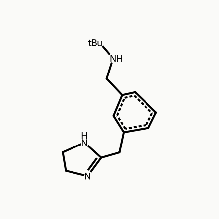 CC(C)(C)NCc1cccc(CC2=NCCN2)c1